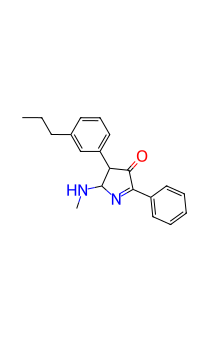 CCCc1cccc(C2C(=O)C(c3ccccc3)=NC2NC)c1